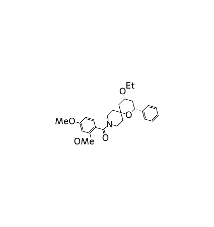 CCO[C@@H]1C[C@H](c2ccccc2)OC2(CCN(C(=O)c3ccc(OC)cc3OC)CC2)C1